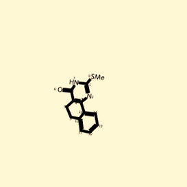 CSc1nc2c(c(=O)[nH]1)CCc1ccccc1-2